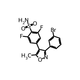 Cc1onc(-c2cccc(Br)c2)c1-c1cc(F)c(S(N)(=O)=O)c(F)c1